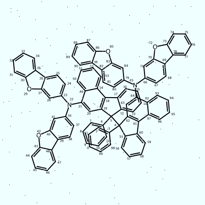 c1ccc(C2(C3(c4ccccc4)c4ccccc4-c4c3cc(N(c3ccc5c(c3)oc3ccccc35)c3ccc5c(c3)oc3ccccc35)c3ccccc43)c3ccccc3-c3c2cc(N(c2ccc4c(c2)oc2ccccc24)c2ccc4c(c2)oc2ccccc24)c2ccccc32)cc1